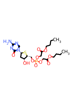 CCCCOC(=O)COP(=O)(OCC(=O)OCCCC)OC[C@H]1S[C@@H](n2cnc(N)nc2=O)C[C@H]1O